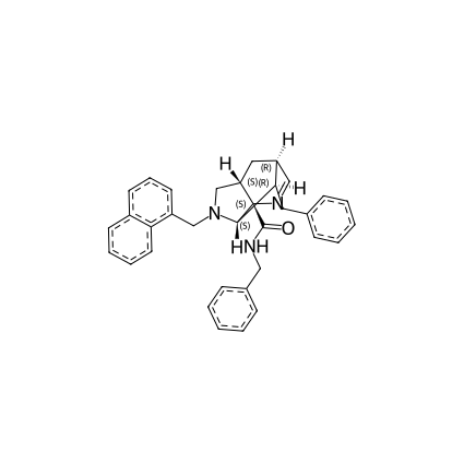 O=C(NCc1ccccc1)[C@]12N=C[C@@H]3C[C@H]1CN(Cc1cccc4ccccc14)[C@H]2[C@@H]3Cc1ccccc1